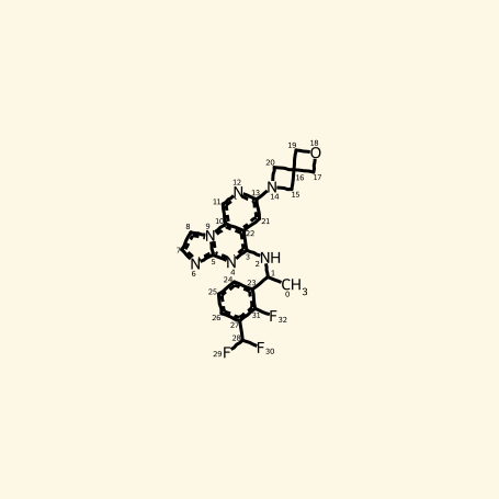 CC(Nc1nc2nccn2c2cnc(N3CC4(COC4)C3)cc12)c1cccc(C(F)F)c1F